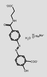 O.O.O=C([O-])CCNC(=O)c1ccc(N=Nc2ccc(O)c(C(=O)[O-])c2)cc1.[Na+].[Na+]